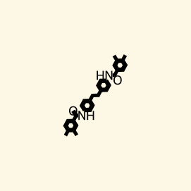 Cc1ccc(C(=O)Nc2ccc(CCc3ccc(NC(=O)c4ccc(C)c(C)c4)cc3)cc2)cc1C